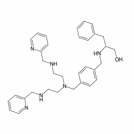 OCC(Cc1ccccc1)NCc1ccc(CN(CCNCc2ccccn2)CCNCc2ccccn2)cc1